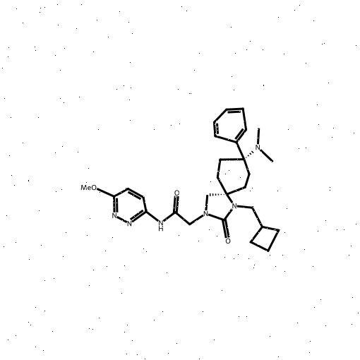 COc1ccc(NC(=O)CN2C[C@]3(CC[C@@](c4ccccc4)(N(C)C)CC3)N(CC3CCC3)C2=O)nn1